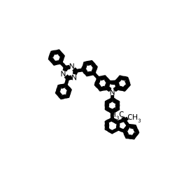 CC1(C)C2=C(c3ccc(-n4c5ccccc5c5cc(-c6cccc(-c7nc(-c8ccccc8)nc(-c8ccccc8)n7)c6)ccc54)cc3)C=CCC2c2ccccc21